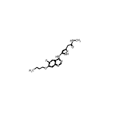 CCCCOc1cc2ncnc(Nc3cc(CC(=O)NC)n[nH]3)c2cc1F